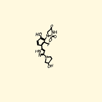 O=C1CN(c2c(O)ccc(-c3cc(N4CCC(O)C4)n[nH]3)c2F)S(=O)(=O)N1